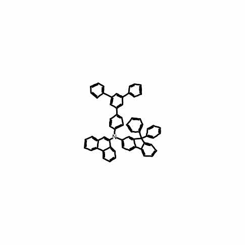 c1ccc(-c2cc(-c3ccccc3)cc(-c3ccc(N(c4ccc5c(c4)C(c4ccccc4)(c4ccccc4)c4ccccc4-5)c4cc5ccccc5c5ccccc45)cc3)c2)cc1